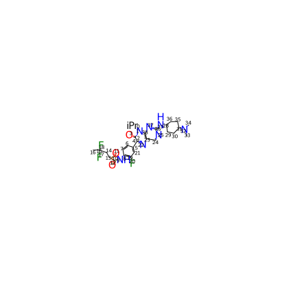 CC(C)n1c(=O)c(-c2ccc(NS(=O)(=O)CCC(C)(F)F)c(F)c2)nc2cnc(N[C@H]3CC[C@H](N(C)C)CC3)nc21